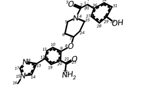 C[C@@H](C(=O)N1CCC(Oc2ccc(-c3cn(C)cn3)cc2C(N)=O)CC1)c1ccc(O)cc1